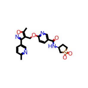 Cc1ccc(-c2noc(C)c2COc2ccc(C(=O)N[C@H]3CCS(=O)(=O)C3)cn2)cn1